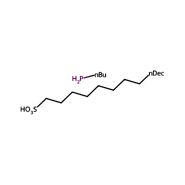 CCCCCCCCCCCCCCCCCCS(=O)(=O)O.CCCCP